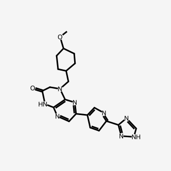 COC1CCC(CN2CC(=O)Nc3ncc(-c4ccc(-c5nc[nH]n5)nc4)nc32)CC1